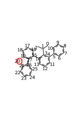 CC(C)c1c(-c2ccccc2)cccc1-c1cccc2oc3ccccc3c12